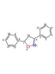 c1ccc(C2=NOC(c3ccccc3)C2)cc1